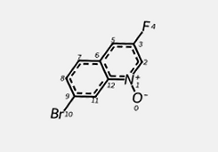 [O-][n+]1cc(F)cc2ccc(Br)cc21